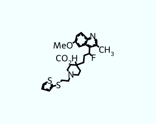 COc1ccc2ncc(C)c(C(F)CCC3(C(=O)O)CCN(CCSc4cccs4)CC3)c2c1